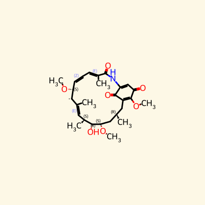 COC1=C2C[C@@H](C)C[C@H](OC)[C@H](O)[C@@H](C)/C=C(\C)[CH][C@H](OC)/C=C\C=C(/C)C(=O)NC(=CC1=O)C2=O